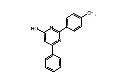 Cc1ccc(-c2nc(O)cc(-c3ccccc3)n2)cc1